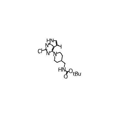 CC(C)(C)OC(=O)NCC1CCN(c2nc(Cl)nc3[nH]cc(I)c23)CC1